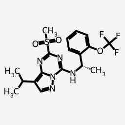 CC(C)c1cnn2c(N[C@@H](C)c3ccccc3OC(F)(F)F)nc(S(C)(=O)=O)nc12